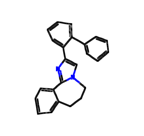 c1ccc(-c2ccccc2-c2cn3c(n2)-c2ccccc2CCC3)cc1